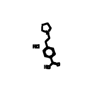 Cl.O=C(O)c1ccc(CCN2CCCC2)cc1